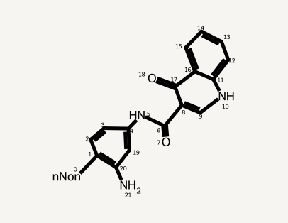 CCCCCCCCCc1ccc(NC(=O)c2c[nH]c3ccccc3c2=O)cc1N